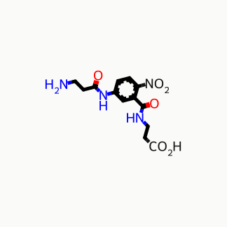 NCCC(=O)Nc1ccc([N+](=O)[O-])c(C(=O)NCCC(=O)O)c1